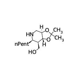 CCCCC[C@H]1NC[C@H]2OC(C)(C)O[C@@H]2[C@H]1CO